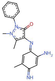 CC1=CC(=Nc2c(C)n(C)n(-c3ccccc3)c2=O)C(N)=CC1=N